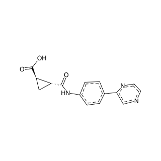 O=C(O)[C@@H]1C[C@H]1C(=O)Nc1ccc(-c2cnccn2)cc1